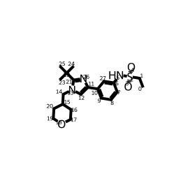 CCS(=O)(=O)Nc1cccc(-c2cn(CC3CCOCC3)c(C(C)(C)C)n2)c1